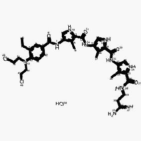 CCc1cc(C(=O)Nc2c[nH]c(C(=O)Nc3c[nH]c(C(=O)Nc4c[nH]c(C(=O)NCCC(=N)N)c4C)c3C)c2C)ccc1N(CCCl)CCCl.Cl